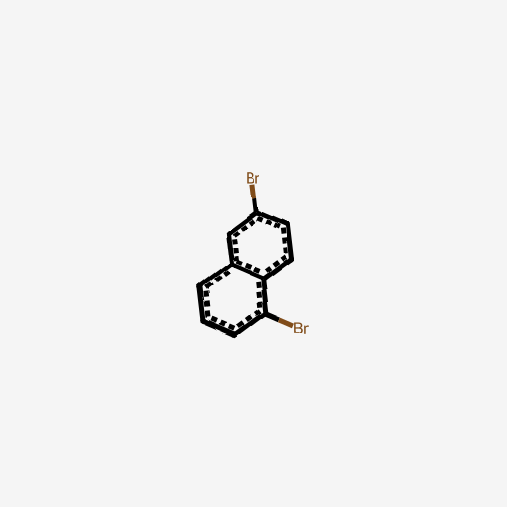 Brc1ccc2c(Br)cccc2c1